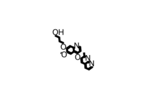 COc1cc2c(Oc3cc4cccnc4nc3C)ccnc2cc1OCCCCO